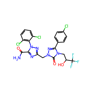 NC(=O)c1nc(Cn2nc(-c3ccc(Cl)cc3)n(CC(O)C(F)(F)F)c2=O)nn1-c1c(Cl)cccc1Cl